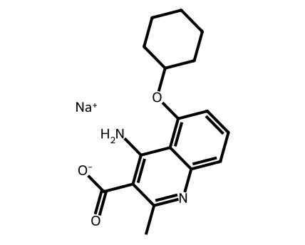 Cc1nc2cccc(OC3CCCCC3)c2c(N)c1C(=O)[O-].[Na+]